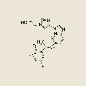 CC(Nc1ccc2ncc(-c3cn(CCO)nn3)n2n1)c1cc(F)c[nH]c1=O